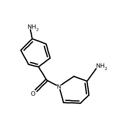 NC1=CC=CN(C(=O)c2ccc(N)cc2)C1